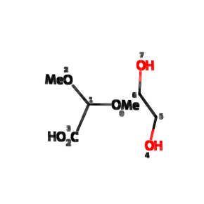 COC(OC)C(=O)O.OCCO